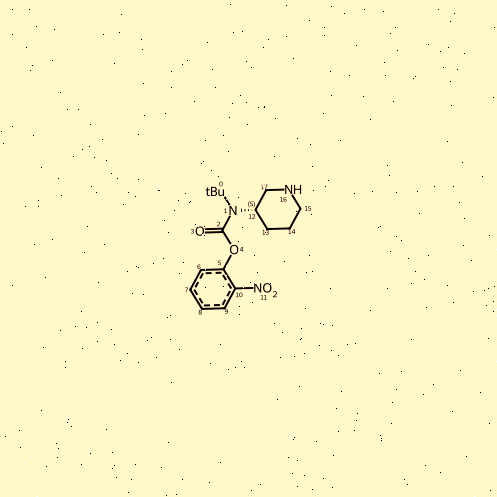 CC(C)(C)N(C(=O)Oc1ccccc1[N+](=O)[O-])[C@H]1CCCNC1